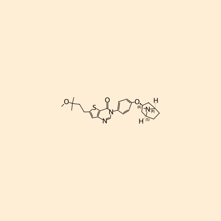 COC(C)(C)CCc1cc2ncn(-c3ccc(O[C@H]4C[C@H]5CC[C@@H](C4)N5C)cc3)c(=O)c2s1